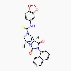 O=C1[C@@H]2C3C[C@H](CN3C(=S)Nc3ccc4c(c3)OCO4)N2C(=O)N1c1cccc2ccccc12